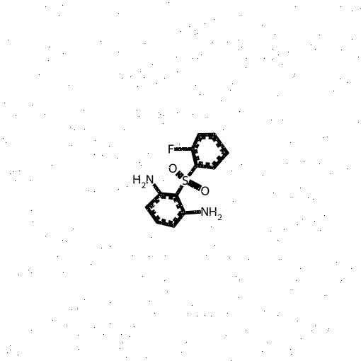 Nc1cccc(N)c1S(=O)(=O)c1ccccc1F